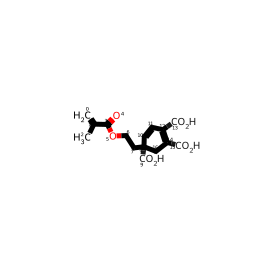 C=C(C)C(=O)OCCC1(C(=O)O)C=CC(C(=O)O)=C(C(=O)O)C1